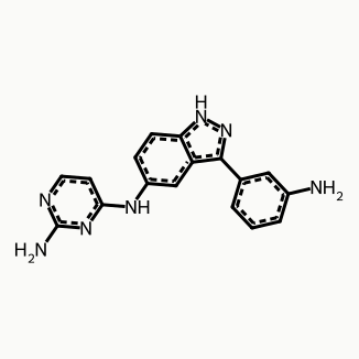 Nc1cccc(-c2n[nH]c3ccc(Nc4ccnc(N)n4)cc23)c1